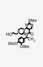 COc1ccc(C(C)NC(=O)c2cnc(SC)nc2N2CCN(CCO)CC2)cc1OC